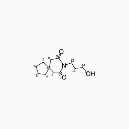 O=C1CC2(CCCC2)CC(=O)N1CCCO